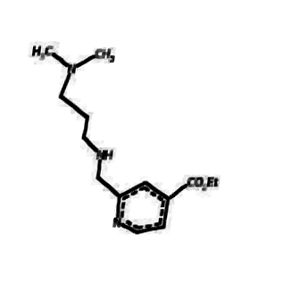 CCOC(=O)c1ccnc(CNCCCN(C)C)c1